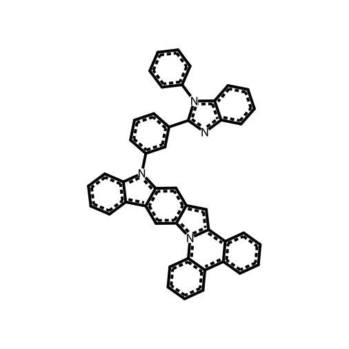 c1ccc(-n2c(-c3cccc(-n4c5ccccc5c5cc6c(cc54)cc4c5ccccc5c5ccccc5n64)c3)nc3ccccc32)cc1